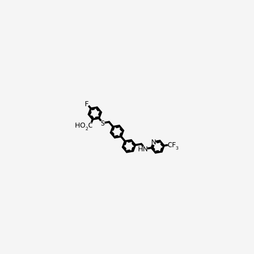 O=C(O)c1cc(F)ccc1SCc1ccc(-c2cccc(CNc3ccc(C(F)(F)F)cn3)c2)cc1